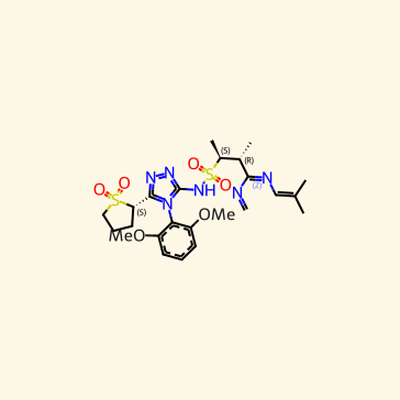 C=N/C(=N\C=C(C)C)[C@@H](C)[C@H](C)S(=O)(=O)Nc1nnc([C@@H]2CCCS2(=O)=O)n1-c1c(OC)cccc1OC